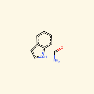 NC=O.c1ccc2[nH]ccc2c1